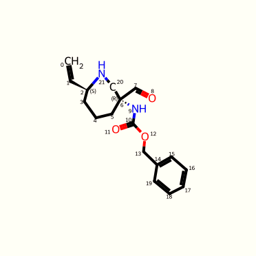 C=C[C@@H]1CCC[C@@](C=O)(NC(=O)OCc2ccccc2)CN1